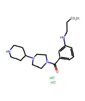 CCOC(=O)CCNc1cccc(C(=O)N2CCN(C3CCNCC3)CC2)c1.Cl.Cl